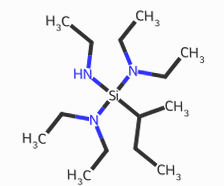 CCN[Si](C(C)CC)(N(CC)CC)N(CC)CC